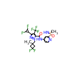 CC1(Cn2nc(C3C(F)C3F)c(C(F)(F)F)c2C(=O)Nc2ccnc(S(C)(=N)=O)c2)CC(F)(F)C1